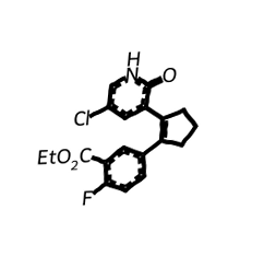 CCOC(=O)c1cc(C2=C(c3cc(Cl)c[nH]c3=O)CCC2)ccc1F